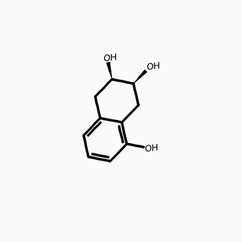 Oc1cccc2c1C[C@H](O)[C@H](O)C2